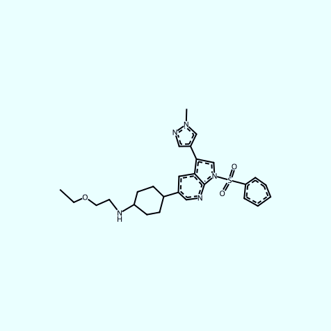 CCOCCNC1CCC(c2cnc3c(c2)c(-c2cnn(C)c2)cn3S(=O)(=O)c2ccccc2)CC1